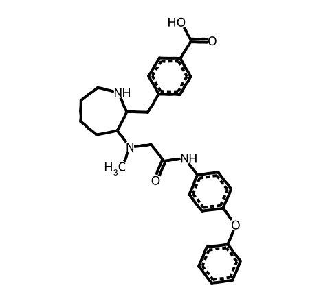 CN(CC(=O)Nc1ccc(Oc2ccccc2)cc1)C1CCCCNC1Cc1ccc(C(=O)O)cc1